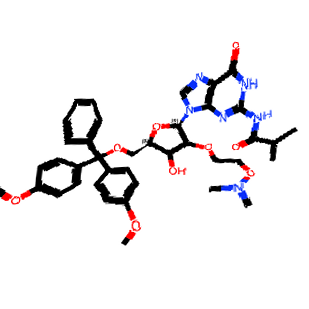 COc1ccc(C(OC[C@H]2O[C@@H](n3cnc4c(=O)[nH]c(NC(=O)C(C)C)nc43)C(OCCON(C)C)C2O)(c2ccccc2)c2ccc(OC)cc2)cc1